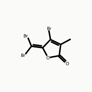 CC1=C(Br)C(=C(Br)Br)OC1=O